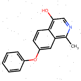 Cc1ncc(O)c2ccc(Oc3ccccc3)cc12